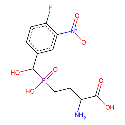 NC(CCP(=O)(O)C(O)c1ccc(F)c([N+](=O)[O-])c1)C(=O)O